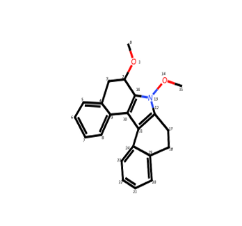 COC1Cc2ccccc2-c2c3c(n(OC)c21)CCc1ccccc1-3